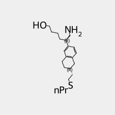 CCCSCC[C@@H]1CCc2cc([C@H](CN)CCCCO)ccc2C1